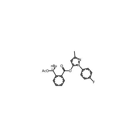 CCCC[C@H](OC(C)=O)c1ccccc1C(=O)Oc1cc(C)nn1-c1ccc(F)cc1